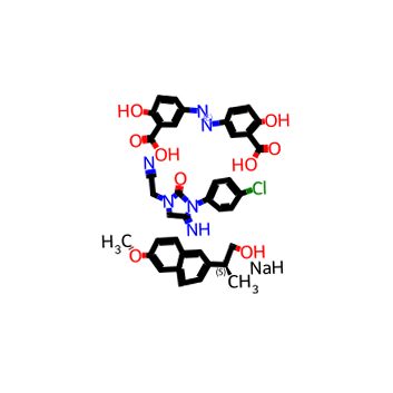 COc1ccc2cc([C@H](C)CO)ccc2c1.N#CCN1CC(=N)N(c2ccc(Cl)cc2)C1=O.O=C(O)c1cc(/N=N/c2ccc(O)c(C(=O)O)c2)ccc1O.[NaH]